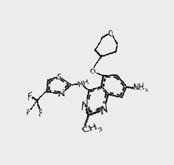 Cc1nc(Nc2nc(C(F)(F)F)cs2)c2c(OC3CCOCC3)cc(N)cc2n1